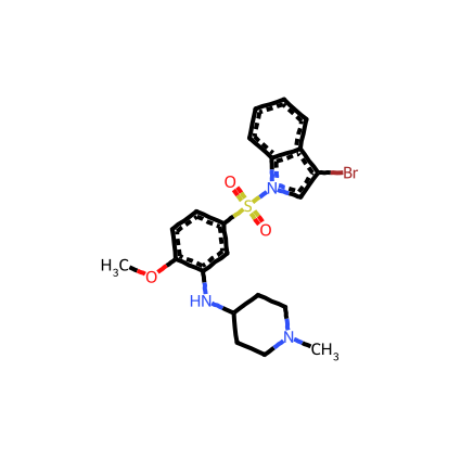 COc1ccc(S(=O)(=O)n2cc(Br)c3ccccc32)cc1NC1CCN(C)CC1